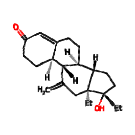 C=C1C[C@@]2(CC)[C@@H](CC[C@@]2(O)CC)[C@@H]2CCC3=CC(=O)CC[C@@H]3[C@@H]12